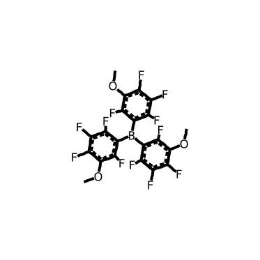 COc1c(F)c(F)c(F)c(B(c2c(F)c(F)c(F)c(OC)c2F)c2c(F)c(F)c(F)c(OC)c2F)c1F